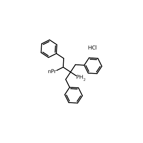 CCCC(Cc1ccccc1)C(P)(Cc1ccccc1)Cc1ccccc1.Cl